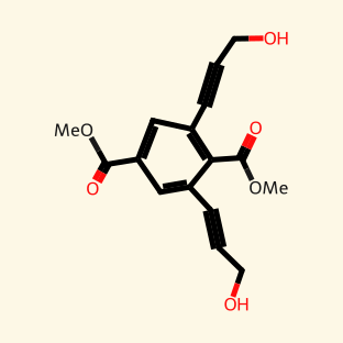 COC(=O)c1cc(C#CCO)c(C(=O)OC)c(C#CCO)c1